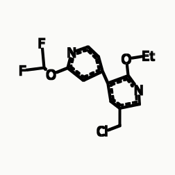 CCOc1ncc(CCl)cc1-c1ccnc(OC(F)F)c1